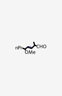 CCCC(/C=C/C(C)C=O)OC